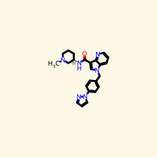 CN1CCC[C@H](NC(=O)c2cn(Cc3ccc(-n4cccn4)cc3)c3cccnc23)C1